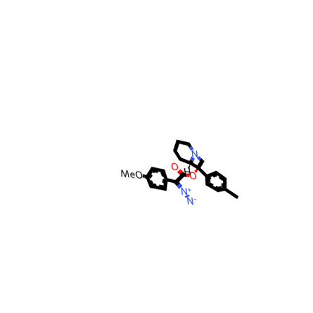 COc1ccc(C(=[N+]=[N-])C(=O)O[C@]2(c3ccc(C)cc3)CN3CCCC[C@@H]32)cc1